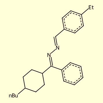 CCCCC1CCC(C(=NN=Cc2ccc(CC)cc2)c2ccccc2)CC1